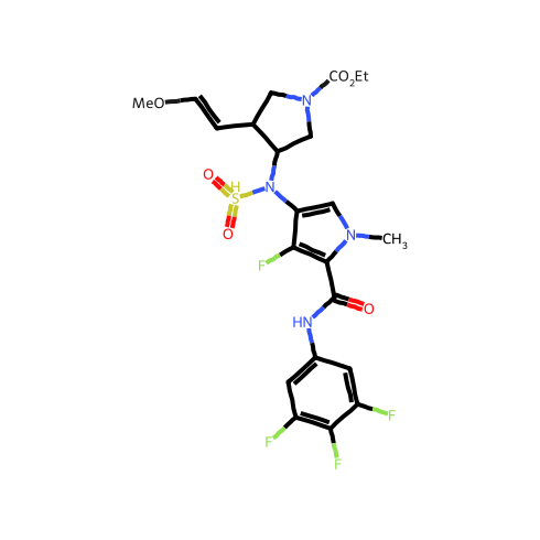 CCOC(=O)N1CC(C=COC)C(N(c2cn(C)c(C(=O)Nc3cc(F)c(F)c(F)c3)c2F)[SH](=O)=O)C1